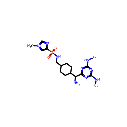 CCNc1nc(NCC)nc(C(N)C2CCC(CNS(=O)(=O)c3cn(C)cn3)CC2)n1